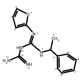 CC(NC(=Nc1ccco1)NC(=N)N)c1ccccc1